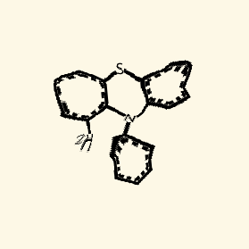 [2H]c1cccc2c1N(c1ccccc1)c1ccccc1S2